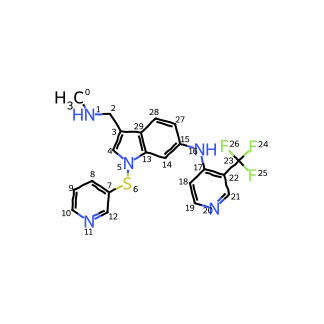 CNCc1cn(Sc2cccnc2)c2cc(Nc3ccncc3C(F)(F)F)ccc12